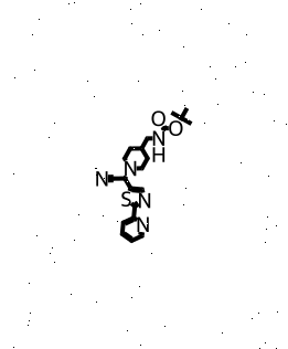 CC(C)(C)OC(=O)NCC1CCN(C(C#N)c2cnc(-c3ccccn3)s2)CC1